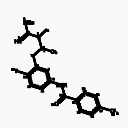 CNC(=N)N(C)[S+]([O-])Cc1cc(NC(=O)c2ccc(C(F)(F)F)cn2)ccc1F